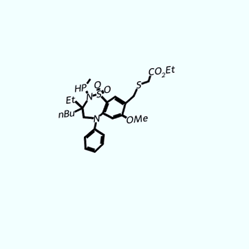 CCCCC1(CC)CN(c2ccccc2)c2cc(OC)c(CSCC(=O)OCC)cc2S(=O)(=O)N1PC